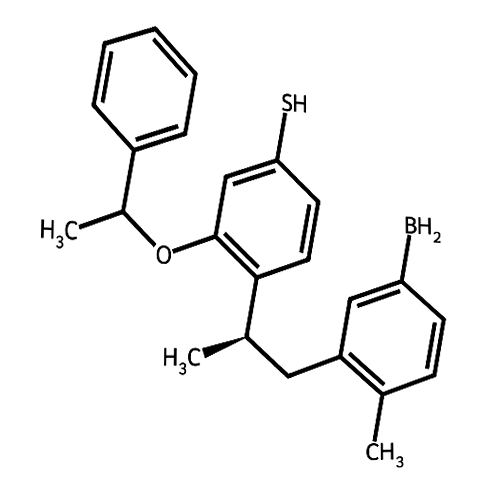 Bc1ccc(C)c(C[C@@H](C)c2ccc(S)cc2OC(C)c2ccccc2)c1